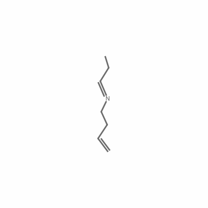 C=CCCN=CCC